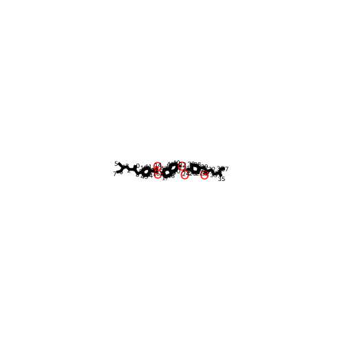 C=C(CCC(C)CC)Cc1ccc(C(=O)Oc2ccc3cc(OC(=O)c4ccc(CC(=O)CCC(C)CC)cc4)ccc3c2)cc1